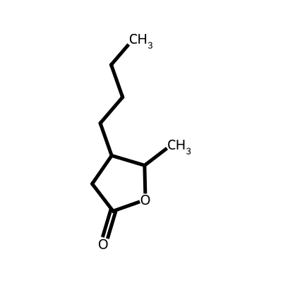 CCCCC1CC(=O)OC1C